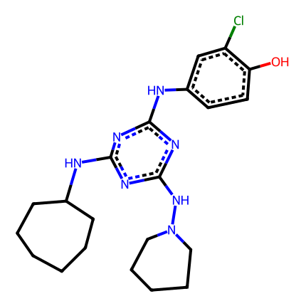 Oc1ccc(Nc2nc(NC3CCCCCC3)nc(NN3CCCCC3)n2)cc1Cl